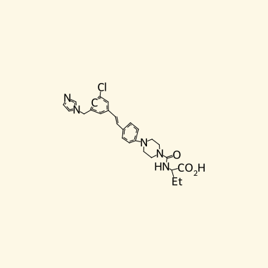 CCC(NC(=O)N1CCN(c2ccc(C=Cc3cc(Cl)cc(Cn4ccnc4)c3)cc2)CC1)C(=O)O